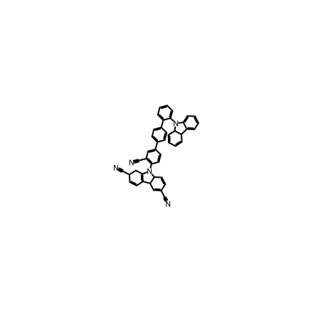 N#CC1=CC2C3=C(CC(C#N)C=C3)N(c3ccc(-c4ccc(-c5ccccc5N5c6ccccc6C6C=CC=CC65)cc4)cc3C#N)C2C=C1